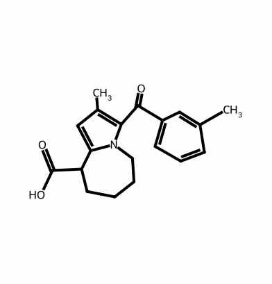 Cc1cccc(C(=O)c2c(C)cc3n2CCCCC3C(=O)O)c1